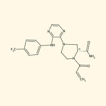 C=CC(=O)N1CCN(c2nccnc2Nc2ccc(C(F)(F)F)cc2)C[C@@H]1C(N)=O